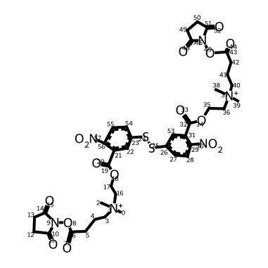 C[N+](C)(CCCC(=O)ON1C(=O)CCC1=O)CCOC(=O)c1cc(SSc2ccc([N+](=O)[O-])c(C(=O)OCC[N+](C)(C)CCCC(=O)ON3C(=O)CCC3=O)c2)ccc1[N+](=O)[O-]